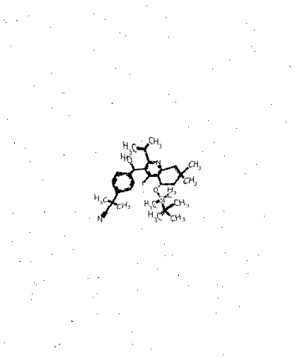 CC(C)c1nc2c(c(I)c1C(O)c1ccc(C(C)(C)C#N)cc1)[C@@H](O[Si](C)(C)C(C)(C)C)CC(C)(C)C2